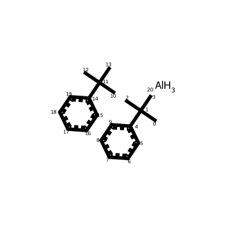 CC(C)(C)c1ccccc1.CC(C)(C)c1ccccc1.[AlH3]